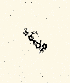 COc1nc(-c2nc3n(n2)CC[C@H](c2ccccc2C(F)(F)F)[C@H]3F)ccc1-n1cnc(C)c1